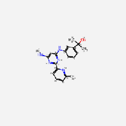 CC(C)Nc1cc(Nc2cccc(C(C)(C)O)c2)nc(-c2cccc(C(F)(F)F)n2)n1